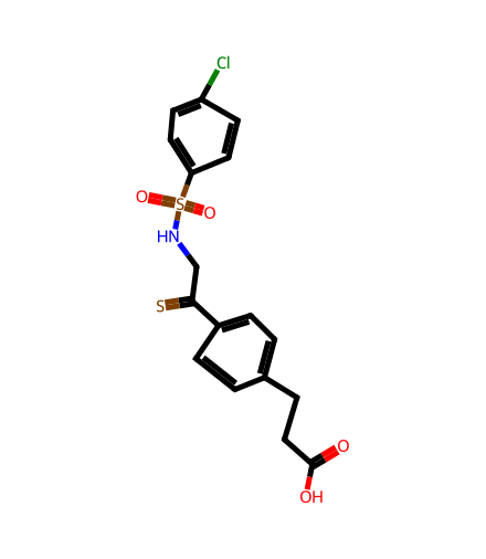 O=C(O)CCc1ccc(C(=S)CNS(=O)(=O)c2ccc(Cl)cc2)cc1